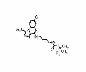 Cc1nnc2c(NCCCCNC(=O)OC(C)(C)C)nc3cc(Cl)ccc3n12